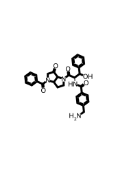 NCc1ccc(C(=O)N[C@H](C(=O)N2CCC3C2C(=O)CN3C(=O)c2ccccc2)C(O)c2ccccc2)cc1